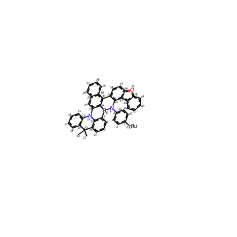 CC(C)(C)c1ccc(N2B3c4cccc5c4N(c4ccccc4C5(C)C)c4cc5ccccc5c(c43)-c3ccc4oc5ccccc5c4c32)cc1